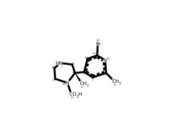 Cc1cc([C@@]2(C)CNCCN2C(=O)O)cc(Br)n1